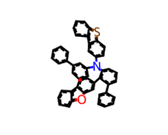 c1ccc(-c2cccc(N(c3ccc4sc5ccccc5c4c3)c3cccc(-c4ccccc4)c3-c3ccc4c(c3)oc3ccccc34)c2)cc1